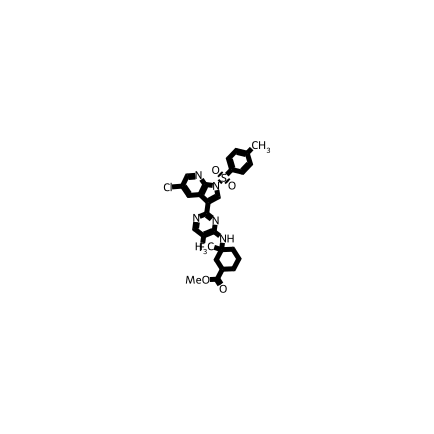 COC(=O)C1CCCC(C)(Nc2nc(-c3cn(S(=O)(=O)c4ccc(C)cc4)c4ncc(Cl)cc34)ncc2F)C1